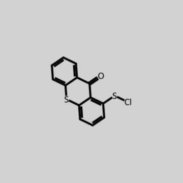 O=c1c2ccccc2sc2cccc(SCl)c12